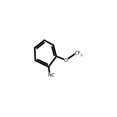 [C-]#[N+]c1ccccc1OC(F)(F)F